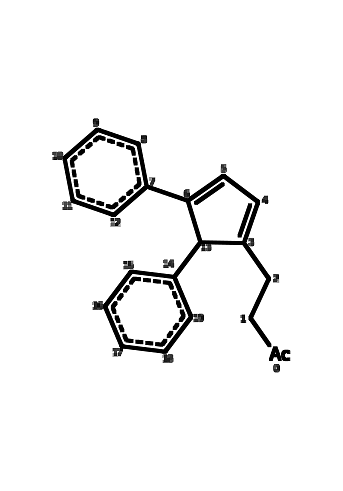 CC(=O)CCC1=CC=C(c2ccccc2)C1c1ccccc1